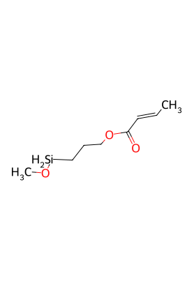 CC=CC(=O)OCCC[SiH2]OC